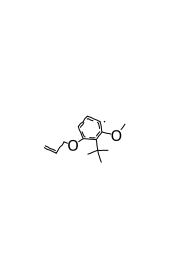 C=CCOc1cc[c]c(OC)c1C(C)(C)C